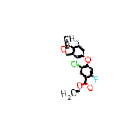 C=COC(=O)c1cc(Cl)c(Oc2ccc3c(c2)COB3C)cc1F